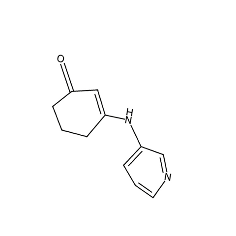 O=C1C=C(Nc2cccnc2)CCC1